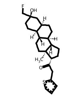 C[C@]12CC[C@H]3[C@@H](CC[C@@H]4C[C@@](O)(CF)CC[C@@H]43)[C@@H]1CC[C@@H]2C(=O)Cc1cccs1